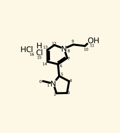 CN1CCCC1C1=CN(CCO)CC=C1.Cl.Cl